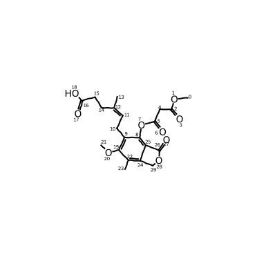 COC(=O)CC(=O)Oc1c(CC=C(C)CCC(=O)O)c(OC)c(C)c2c1C(=O)OC2